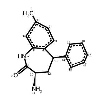 Cc1ccc2c(c1)NC(=O)[C@H](N)C[C@@H]2c1ccccc1